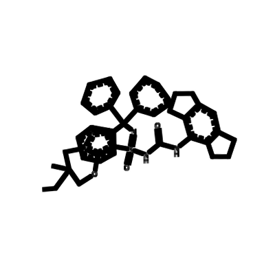 CCC1(C)COc2c(S(=O)(=NC(c3ccccc3)(c3ccccc3)c3ccccc3)NC(=O)Nc3c4c(cc5c3CCC5)CCC4)cnn2C1